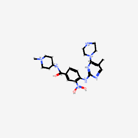 Cc1cnc(Nc2ccc(C(=O)NC3CCN(C)CC3)cc2[N+](=O)[O-])nc1N1CCNCC1